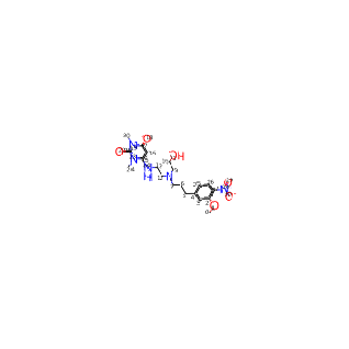 COc1cc(CCCN(CCO)CCNc2cc(=O)n(C)c(=O)n2C)ccc1[N+](=O)[O-]